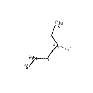 CC(C)NC[C@@H](C)CC#N